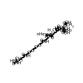 CCCCCCC(=O)N[C@@H](CCCCNC(=O)CCOCCOCCOCCOCCNC(=O)CCCCC[C@H]1NC(=O)N[C@H]1C)C(=O)NCCCc1cn([C@@H](O)O[C@H](COP(C)(=O)O)[C@@H](C)OP(=O)(O)O)c(=O)nc1C